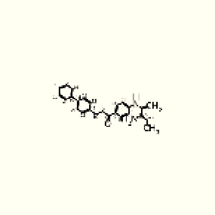 C=C(Nc1ccc(C(=O)CCc2ccc(-c3ccccc3)cc2)cc1)[C@@H](N)CC